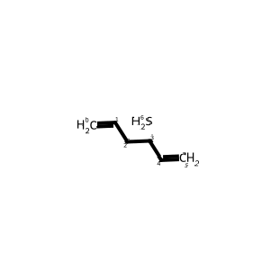 C=CCCC=C.S